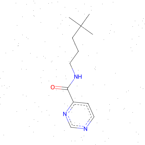 CC(C)(C)CCCNC(=O)c1ccncn1